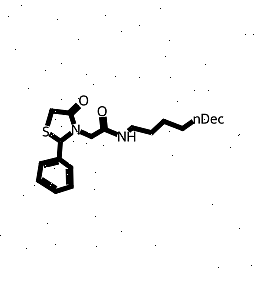 CCCCCCCCCCCCCCNC(=O)CN1C(=O)CSC1c1ccccc1